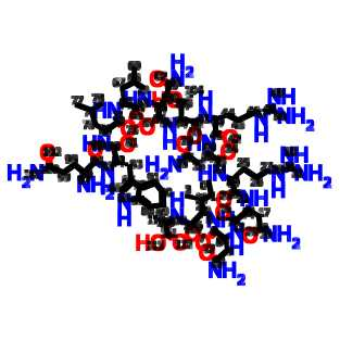 CC[C@H](C)[C@H](NC(=O)[C@H](CC(N)=O)NC(=O)[C@H](CC(N)=O)NC(=O)[C@H](CCCNC(=N)N)NC(=O)[C@H](CC(N)=O)NC(=O)[C@H](CCCNC(=N)N)NC(=O)[C@@H](NC(=O)[C@H](CC(N)=O)NC(=O)[C@H](CC(C)C)NC(=O)[C@H](CC(C)C)NC(=O)[C@H](Cc1c[nH]c2ccccc12)NC(=O)[C@@H](N)CCC(N)=O)[C@@H](C)O)C(=O)N[C@@H](C)C(=O)O